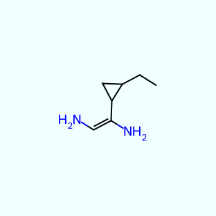 CCC1CC1/C(N)=C\N